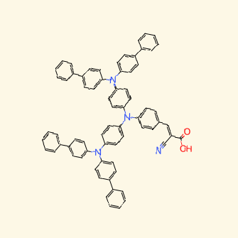 N#C/C(=C\c1ccc(N(c2ccc(N(c3ccc(-c4ccccc4)cc3)c3ccc(-c4ccccc4)cc3)cc2)c2ccc(N(c3ccc(-c4ccccc4)cc3)c3ccc(-c4ccccc4)cc3)cc2)cc1)C(=O)O